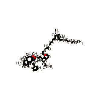 CCC(C)(CC)C(=O)C(CCCCNC(=O)CSCC(=O)O[C@@H](C(=O)O[C@H]1CC2(O)[C@@H](OC(=O)c3ccccc3)[C@H]3C(C)(C(=O)C(O)C(C1C)C2(C)C)C(O)CC1OC[C@]13OC(C)=O)[C@@H](NC(=O)OC(C)(C)C)c1ccccc1)NC(=O)CCOCCOCCOC